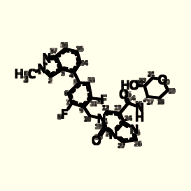 Cn1cc2c(-c3cc(F)c(Cn4cc(C(=O)N[C@H]5CCOC[C@@H]5O)c5nccn5c4=O)c(F)c3)cccc2n1